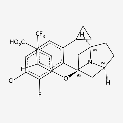 O=C(O)c1cc(C2CC2)c(CN2[C@@H]3CC[C@H]2C[C@@H](Oc2cc(C(F)(F)F)cc(Cl)c2F)C3)cc1F